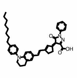 CCCCCCCCc1ccc(N2CCCc3cc(/C=C/C4=CC(=C5\C(=O)N(c6ccccc6)N=C5C(=O)O)/CC4)ccc32)cc1